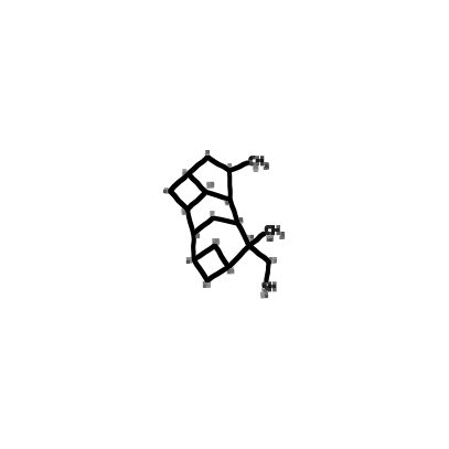 CC1CC2CC3C4CC(C1C23)C(C)(CS)C1CC4C1